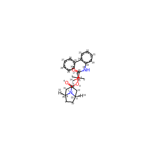 CC(C)(C)OC(=O)N1[C@@H]2CC[C@H]1C[C@@H](COC(=O)Nc1ccccc1-c1ccccc1)C2